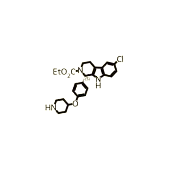 CCOC(=O)N1CCc2c([nH]c3ccc(Cl)cc23)[C@@H]1c1ccc(OC2CCNCC2)cc1